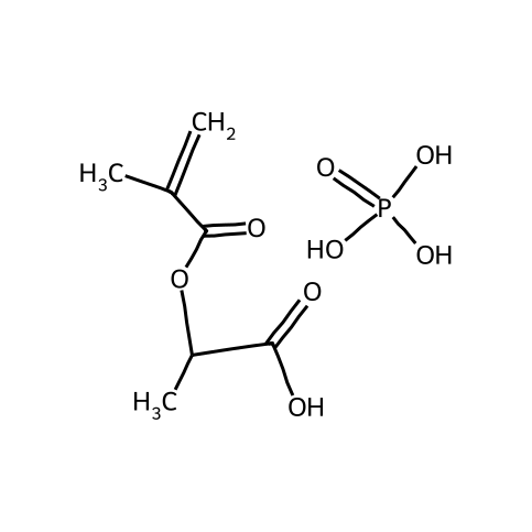 C=C(C)C(=O)OC(C)C(=O)O.O=P(O)(O)O